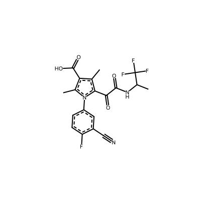 Cc1c(C(=O)O)c(C)n(-c2ccc(F)c(C#N)c2)c1C(=O)C(=O)NC(C)C(F)(F)F